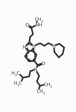 CNC(=O)CCc1nc2ccc(C(=O)N(CCC(C)C)CCC(C)C)cc2n1CCCN1CCCCC1